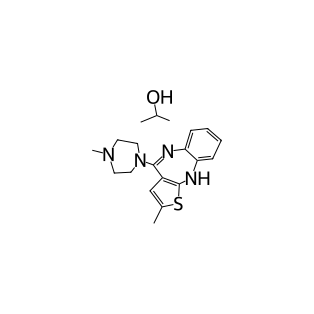 CC(C)O.Cc1cc2c(s1)Nc1ccccc1N=C2N1CCN(C)CC1